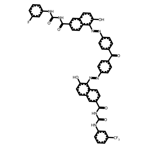 O=C(NC(=O)c1ccc2c(N=Nc3ccc(C(=O)c4ccc(N=Nc5c(O)ccc6cc(C(=O)NC(=O)Nc7cccc(C(F)(F)F)c7)ccc56)cc4)cc3)c(O)ccc2c1)Nc1cccc(F)c1